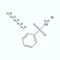 O.O.O.O.O.O.O=S(=O)(O)c1ccccc1.[Ni]